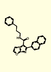 O=C(NCCCc1ccccc1)c1c(-c2ccc3ccccc3c2)nc2occn12